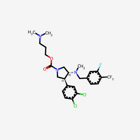 CN(C)CCCOC(=O)N1C[C@H](c2ccc(Cl)c(Cl)c2)[C@@H](N(C)Cc2ccc(C(F)(F)F)c(F)c2)C1